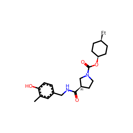 CC[C@H]1CC[C@@H](OC(=O)N2CC[C@@H](C(=O)NCc3ccc(O)c(C)c3)C2)CC1